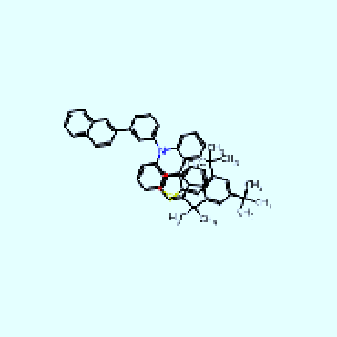 CC(C)(C)c1cc(C(C)(C)C)c2c(c1)C(C)(C)C1=CC=CC(c3ccccc3N(c3cccc(-c4ccc5ccccc5c4)c3)c3cccc4sc5ccccc5c34)C12